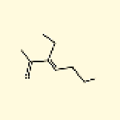 CCC/C=C(\CC)C(C)=O